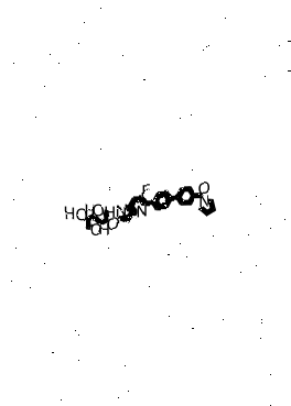 O=C(C1CC=C(c2ccc(-c3nc4cc(O[C@@H]5CO[C@H]6[C@@H]5OC[C@H]6O)[nH]c4cc3F)cc2)CC1)N1CCCC1